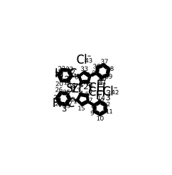 CC1=[C]([Zr+2]([C]2=C(C)C(c3ccccc3F)=CC2C)=[Si](c2ccccc2)c2ccccc2)C(C)C=C1c1ccccc1F.[Cl-].[Cl-]